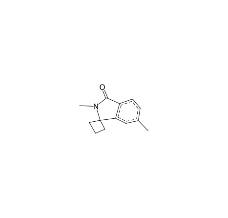 Cc1ccc2c(c1)C1(CCC1)N(C)C2=O